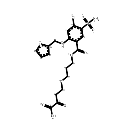 NS(=O)(=O)c1cc(C(=O)OCCCOCCC(=O)C(=O)O)c(NCc2ccco2)cc1Cl